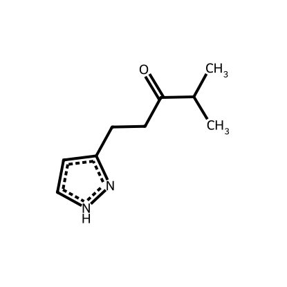 CC(C)C(=O)CCc1cc[nH]n1